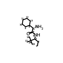 CCC(NC(=O)[C@@H](N)C1CCCCC1)C(C)(C)C